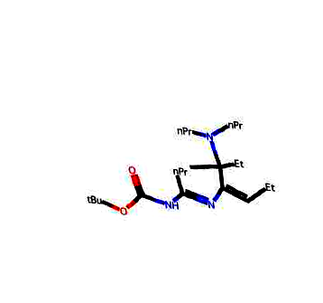 CC/C=C(/N=C(\CCC)NC(=O)OC(C)(C)C)C(C)(CC)N(CCC)CCC